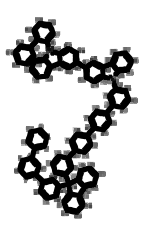 c1ccc(-c2cccc(-c3cccc(C4(c5cccc(-c6ccc(-c7ccc(-c8cccc(-n9c%10ccccc%10c%10cc(-c%11ccc%12c(c%11)c%11ccccc%11n%12-c%11ccccc%11-c%11ccccc%11)ccc%109)c8)cc7)cc6)c5)c5ccccc5-c5ccccc54)c3)c2)cc1